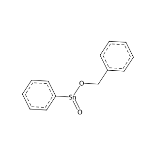 [O]=[Sn]([O]Cc1ccccc1)[c]1ccccc1